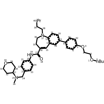 CCCCOCCOc1ccc(-c2ccc3c(c2)C=C(C(=O)Nc2ccc(CN(C)C4CCOCC4)cc2)CCN3CCC(C)C)cc1